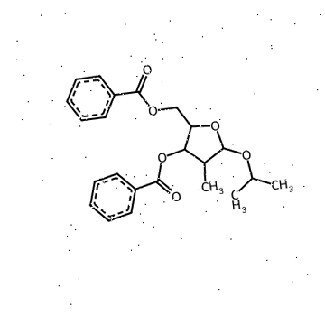 CC(C)OC1OC(COC(=O)c2ccccc2)C(OC(=O)c2ccccc2)C1C